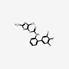 Cc1nc(C(F)(F)F)c(OC(=O)Nc2ccccc2-c2cc(F)c(F)c(F)c2)s1